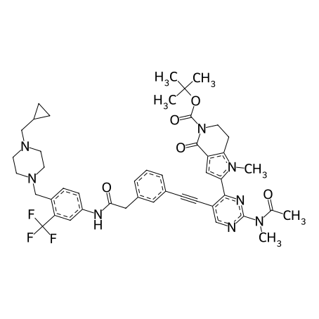 CC(=O)N(C)c1ncc(C#Cc2cccc(CC(=O)Nc3ccc(CN4CCN(CC5CC5)CC4)c(C(F)(F)F)c3)c2)c(-c2cc3c(n2C)CCN(C(=O)OC(C)(C)C)C3=O)n1